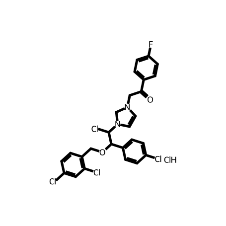 Cl.O=C(CN1C=CN(C(Cl)C(OCc2ccc(Cl)cc2Cl)c2ccc(Cl)cc2)C1)c1ccc(F)cc1